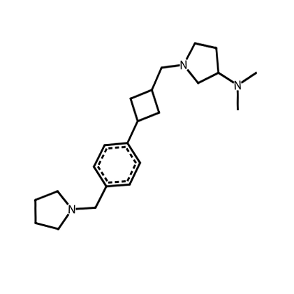 CN(C)C1CCN(CC2CC(c3ccc(CN4CCCC4)cc3)C2)C1